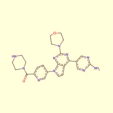 Nc1ncc(-c2nc(N3CCOCC3)nc3c2ccn3-c2ccc(C(=O)N3CCNCC3)nc2)cn1